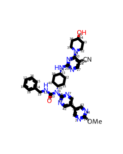 COc1ncc(-c2cnc(N(C(=O)NCc3ccccc3)[C@H]3CC[C@H](Nc4ncc(C#N)c(N5CCC(O)CC5)n4)CC3)nc2)cn1